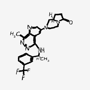 Cc1nnc(N[C@H](C)c2cccc(C(F)(F)F)c2)c2cc(N3CCN4C(=O)CC[C@@H]4C3)cnc12